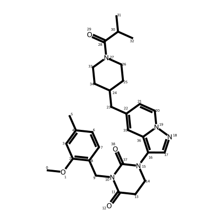 COc1cc(C)ccc1CN1C(=O)CCN(c2cnn3ccc(CC4CCN(C(=O)C(C)C)CC4)cc23)C1=O